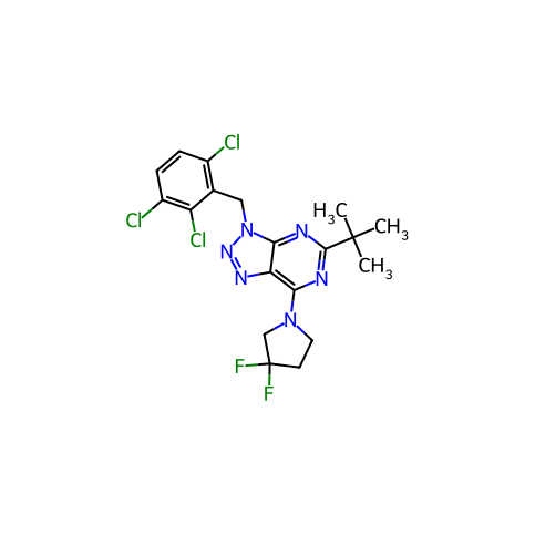 CC(C)(C)c1nc(N2CCC(F)(F)C2)c2nnn(Cc3c(Cl)ccc(Cl)c3Cl)c2n1